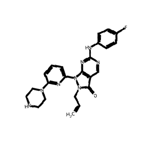 C=CCn1c(=O)c2cnc(Nc3ccc(F)cc3)nc2n1-c1cccc(N2CCNCC2)n1